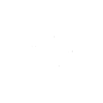 Cl.Nc1cc(O)ccc1O